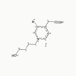 N#CCc1cc[n+](CCCCO)cc1Br.[I-]